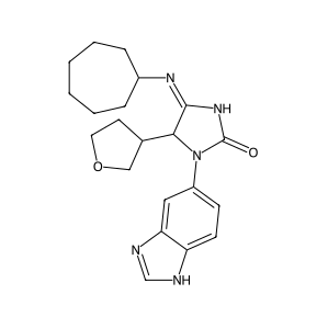 O=C1N/C(=N/C2CCCCCC2)C(C2CCOC2)N1c1ccc2[nH]cnc2c1